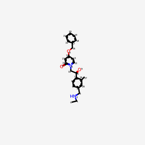 CCNCc1ccc(C(=O)Cn2ccc(OCc3ccccc3)cc2=O)c(C)c1